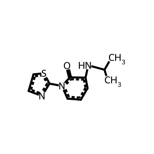 CC(C)Nc1cccn(-c2nccs2)c1=O